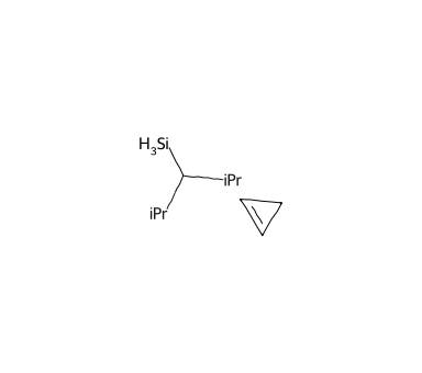 C1=CC1.CC(C)C([SiH3])C(C)C